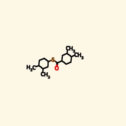 CC1CCC(SC(=O)C2CCC(C)C(C)C2)CC1C